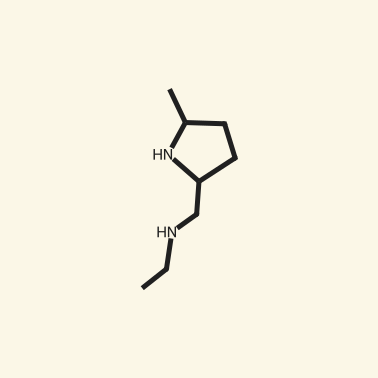 CCNCC1CCC(C)N1